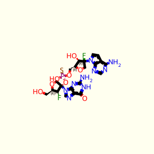 Nc1nc2c(ncn2[C@]2(OP(O)(=S)OC[C@H]3OCC(F)(n4ccc5c(N)ncnc54)[C@@H]3O)CO[C@H](CO)[C@H]2F)c(=O)[nH]1